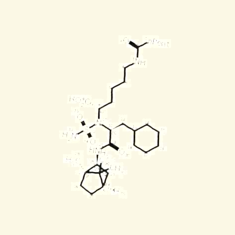 CCCCCC(=O)NCCCC[C@@H](C(=O)O)N([C@@H](CC1CCCCC1)C(=O)N[C@H]1C[C@H]2CC[C@]1(C)C2(C)C)S(N)(=O)=O